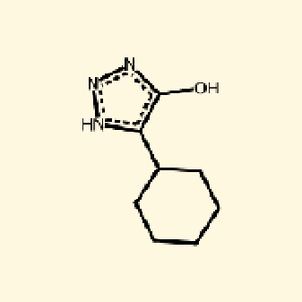 Oc1nn[nH]c1C1CCCCC1